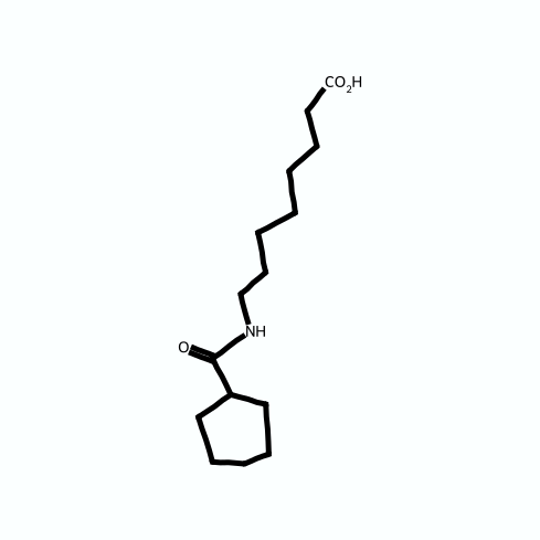 O=C(O)CCCCCCCNC(=O)C1CCCCC1